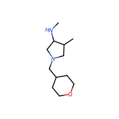 CNC1CN(CC2CCOCC2)CC1C